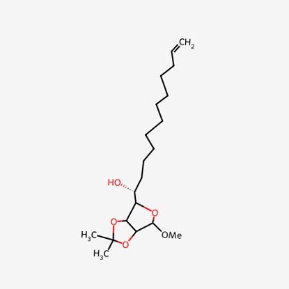 C=CCCCCCCCCC[C@@H](O)C1OC(OC)C2OC(C)(C)OC21